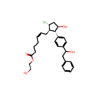 O=C(CCC/C=C\C[C@@H]1[C@@H](c2ccc(C(O)Cc3ccccc3)cc2)[C@H](O)C[C@H]1Cl)OCCO